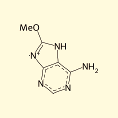 COC1=[N+]c2ncnc(N)c2N1